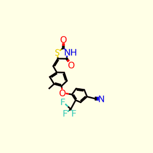 Cc1cc(/C=C2/SC(=O)NC2=O)ccc1Oc1ccc(C#N)cc1C(F)(F)F